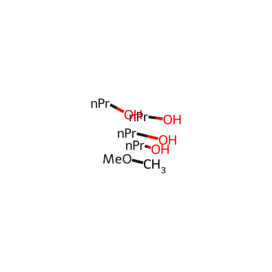 CCCO.CCCO.CCCO.CCCO.COC